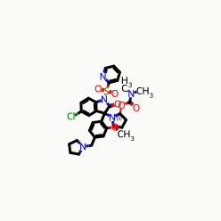 COc1cc(CN2CCCC2)ccc1C1(N2CCC[C@@H]2OC(=O)N(C)C)C(=O)N(S(=O)(=O)c2ccccn2)c2ccc(Cl)cc21